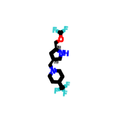 FC(F)OC[C@@H]1C[C@H](CN2CCC(C(F)(F)F)CC2)CN1